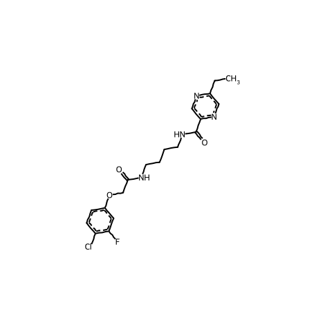 CCc1cnc(C(=O)NCCCCNC(=O)COc2ccc(Cl)c(F)c2)cn1